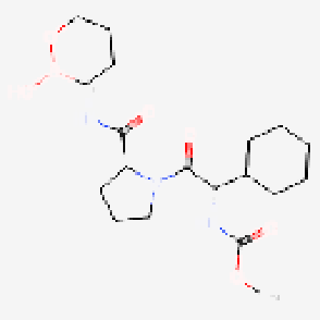 CC(C)(C)OC(=O)N[C@H](C(=O)N1C[CH]C[C@H]1C(=O)N[C@H]1CCCOB1O)C1CCCCC1